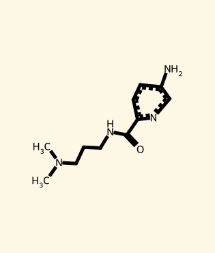 CN(C)CCCNC(=O)c1ccc(N)cn1